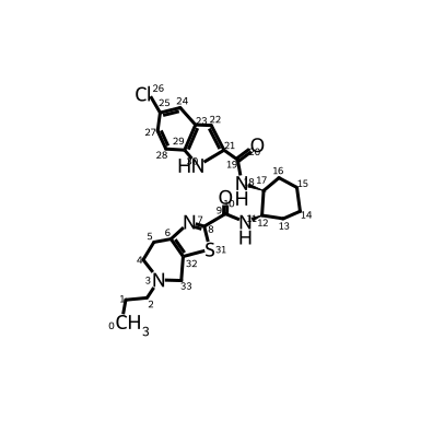 CCCN1CCc2nc(C(=O)N[C@@H]3CCCC[C@@H]3NC(=O)c3cc4cc(Cl)ccc4[nH]3)sc2C1